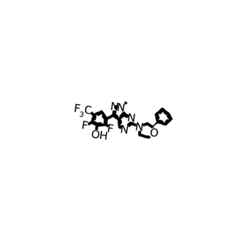 Cn1nc(-c2cc(C(F)(F)F)c(F)c(O)c2F)c2cnc(N3CCO[C@H](c4ccccc4)C3)nc21